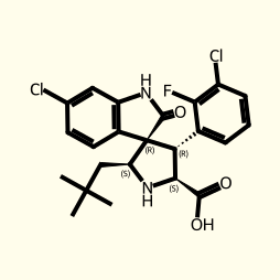 CC(C)(C)C[C@@H]1N[C@H](C(=O)O)[C@@H](c2cccc(Cl)c2F)[C@]12C(=O)Nc1cc(Cl)ccc12